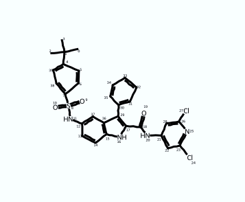 CC(C)(C)c1ccc(S(=O)(=O)Nc2ccc3[nH]c(C(=O)Nc4cc(Cl)nc(Cl)c4)c(-c4ccccc4)c3c2)cc1